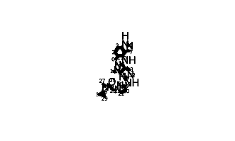 Cc1ccc2[nH]ncc2c1Nc1nn(C)c2nc(Nc3ccn(CC(=O)N(C)C4CC4)n3)ncc12